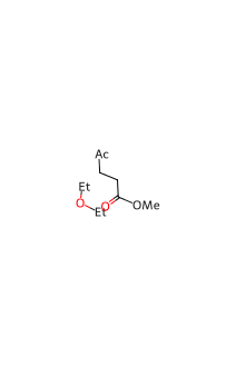 CCOCC.COC(=O)CCC(C)=O